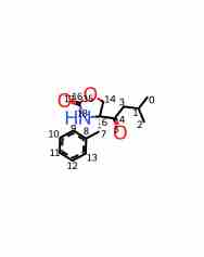 CC(C)CC(=O)[C@]1(Cc2ccccc2)COC(=O)N1